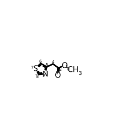 COC(=O)Cc1cs[c]n1